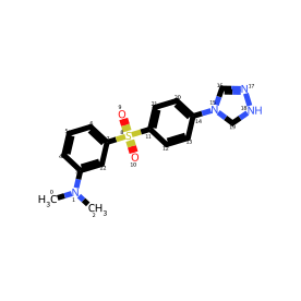 CN(C)c1cccc(S(=O)(=O)c2ccc(N3C=NNC3)cc2)c1